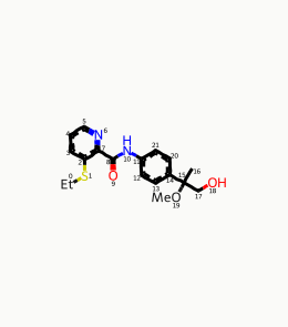 CCSc1cccnc1C(=O)Nc1ccc(C(C)(CO)OC)cc1